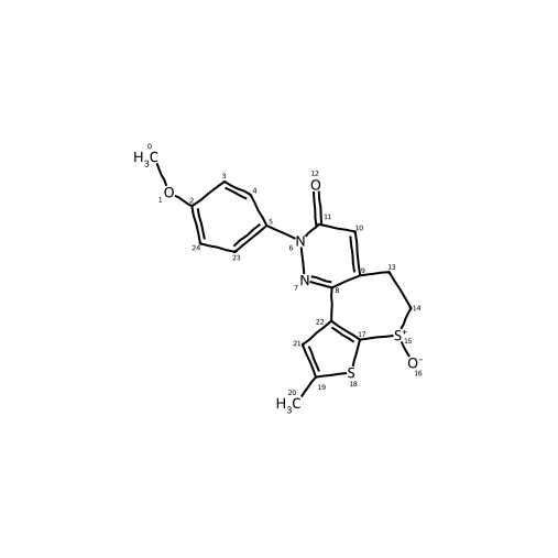 COc1ccc(-n2nc3c(cc2=O)CC[S+]([O-])c2sc(C)cc2-3)cc1